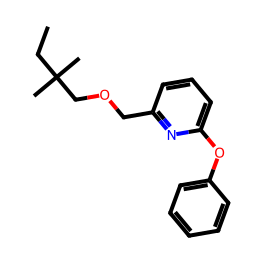 CCC(C)(C)COCc1cccc(Oc2ccccc2)n1